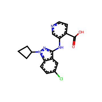 O=C(O)c1ccncc1Nc1nn(C2CCC2)c2ccc(Cl)cc12